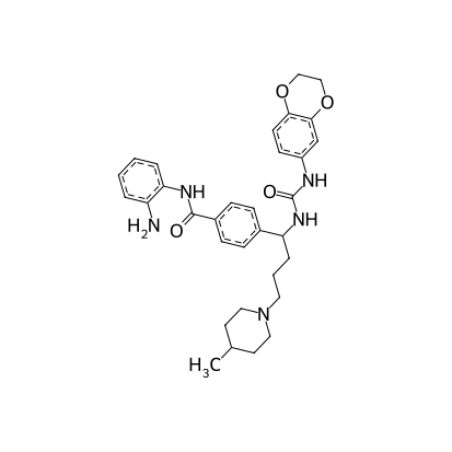 CC1CCN(CCCC(NC(=O)Nc2ccc3c(c2)OCCO3)c2ccc(C(=O)Nc3ccccc3N)cc2)CC1